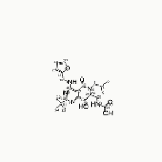 CC(C)CN(C(=O)c1cnc(C(C)(C)C)nc1NCc1ccco1)[C@H](CO)CNC(=O)O